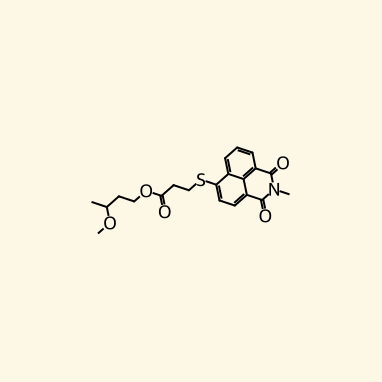 COC(C)CCOC(=O)CCSc1ccc2c3c(cccc13)C(=O)N(C)C2=O